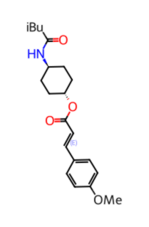 CCC(C)C(=O)N[C@H]1CC[C@H](OC(=O)/C=C/c2ccc(OC)cc2)CC1